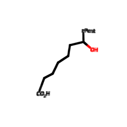 CCCCCC(O)CCCCCC(=O)O